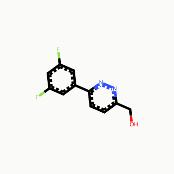 OCc1ccc(-c2cc(F)cc(F)c2)nn1